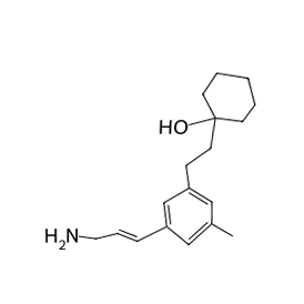 Cc1cc(/C=C/CN)cc(CCC2(O)CCCCC2)c1